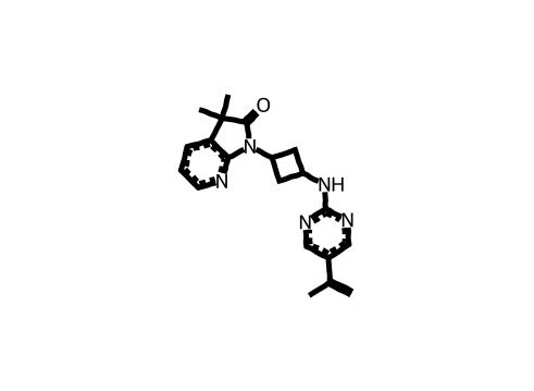 C=C(C)c1cnc(NC2CC(N3C(=O)C(C)(C)c4cccnc43)C2)nc1